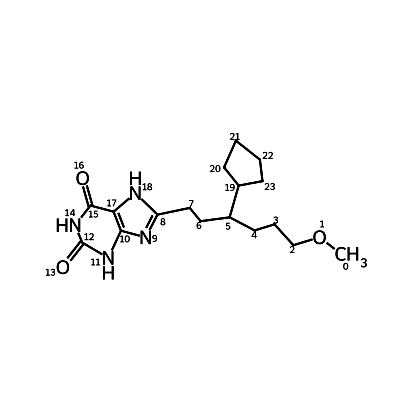 COCCCC(CCc1nc2[nH]c(=O)[nH]c(=O)c2[nH]1)C1CCCC1